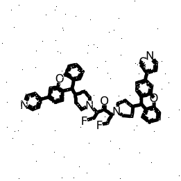 O=C(C(CF)N1CCC(C2c3ccccc3Oc3cc(-c4ccncc4)ccc32)CC1)C(CF)N1CCC(C2c3ccccc3Oc3cc(-c4ccncc4)ccc32)CC1